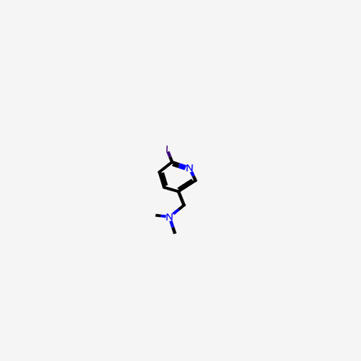 CN(C)Cc1ccc(I)nc1